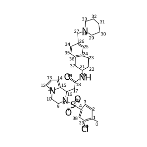 Cc1ccc(S(=O)(=O)N2CCn3cccc3C2CC(=O)NC2CCc3cc(CN4CCCCC4)ccc3C2)cc1Cl